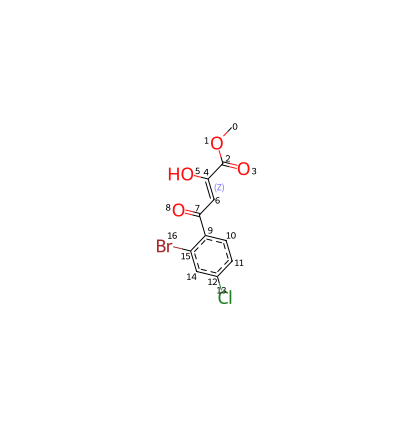 COC(=O)/C(O)=C/C(=O)c1ccc(Cl)cc1Br